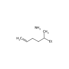 C=CCCC(C)CC.N